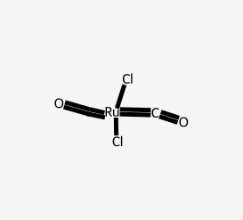 O=[C]=[Ru]([Cl])([Cl])=[C]=O